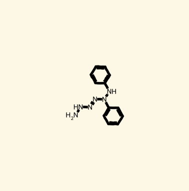 NNN=NN(Nc1ccccc1)c1ccccc1